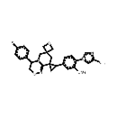 COc1cc(C2CC23CC2(COC2)CN2C3=NOCC2c2ccc(F)cc2)ccc1-n1cnc(C)c1